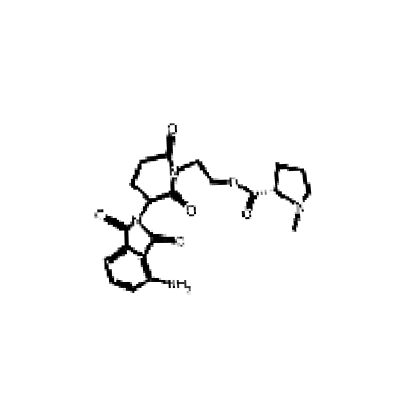 CN1CCC[C@H]1C(=O)OCCN1C(=O)CCC(N2C(=O)c3cccc(N)c3C2=O)C1=O